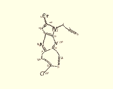 C#CCn1c(CC)nc2nc3cc(Cl)ccc3nc21